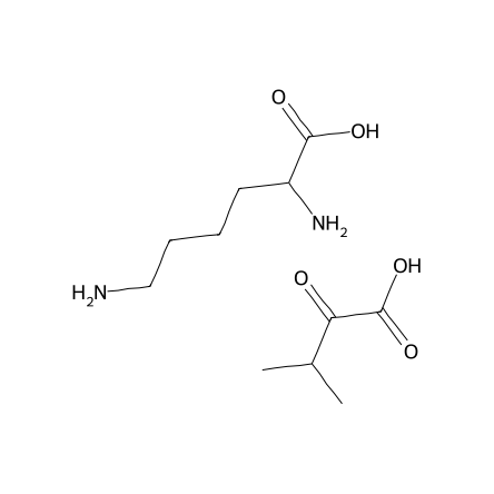 CC(C)C(=O)C(=O)O.NCCCCC(N)C(=O)O